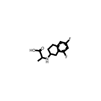 CC(NC1CCc2cc(F)cc(F)c2C1)C(=O)O